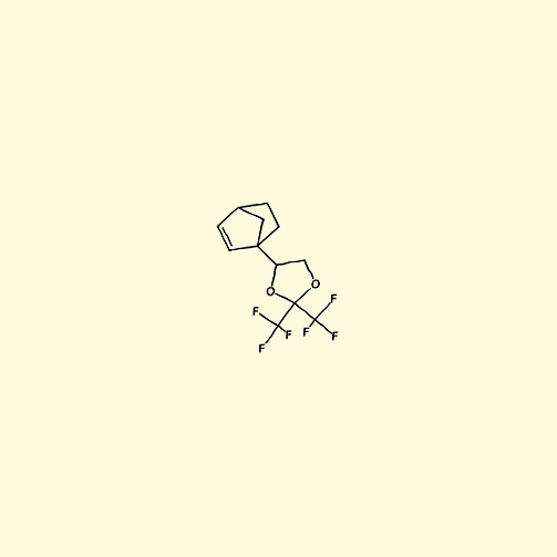 FC(F)(F)C1(C(F)(F)F)OCC(C23C=CC(CC2)C3)O1